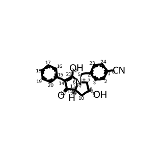 N#Cc1ccc(C[N@@+]23C[C@H](O)C[C@@H]2C(=O)C(c2ccccc2)=C3O)cc1